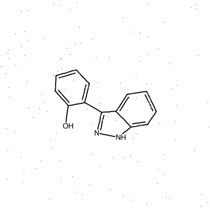 Oc1c[c]ccc1-c1n[nH]c2ccccc12